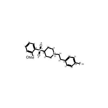 COc1ccccc1S(=O)(=O)C1CCN(CCc2ccc(F)cc2)CC1